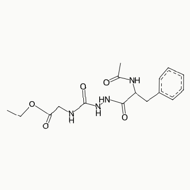 CCOC(=O)CNC(=O)NNC(=O)C(Cc1ccccc1)NC(C)=O